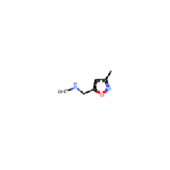 Cc1cc(CNC=O)on1